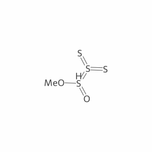 CO[SH](=O)=S(=S)=S